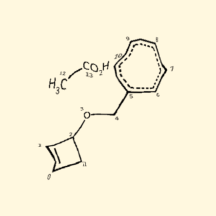 C1=CC(OCc2ccccc2)C1.CC(=O)O